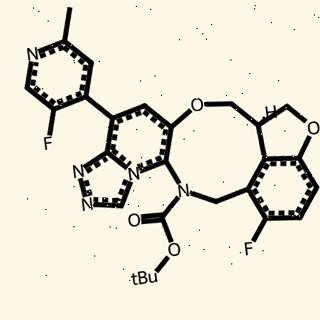 Cc1cc(-c2cc3c(n4cnnc24)N(C(=O)OC(C)(C)C)Cc2c(F)ccc4c2[C@H](CO4)CO3)c(F)cn1